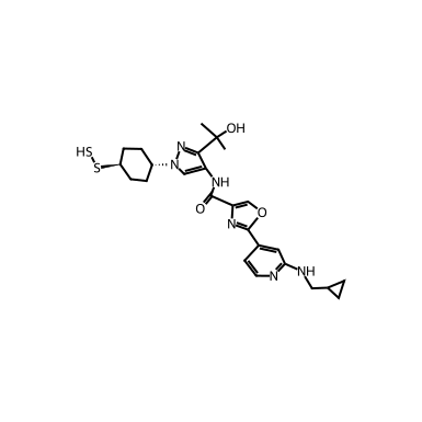 CC(C)(O)c1nn([C@H]2CC[C@H](SS)CC2)cc1NC(=O)c1coc(-c2ccnc(NCC3CC3)c2)n1